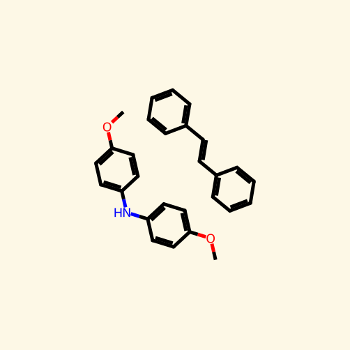 C(=Cc1ccccc1)c1ccccc1.COc1ccc(Nc2ccc(OC)cc2)cc1